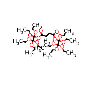 CCOC(OCC)(OCC)C(OCC)(OCC)OC(=O)CCC(=O)OC(OCC)(OCC)C(OCC)(OCC)OCC